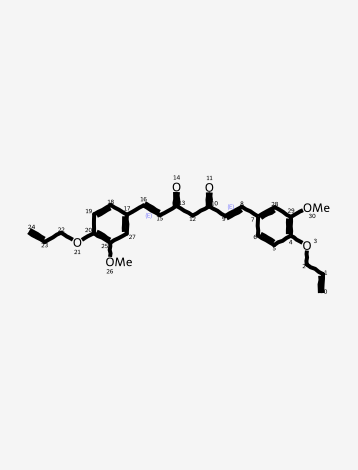 C=CCOc1ccc(/C=C/C(=O)CC(=O)/C=C/c2ccc(OCC=C)c(OC)c2)cc1OC